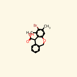 Cc1cc2c(c(C)c1Br)C(C(=O)O)c1ccccc1CO2